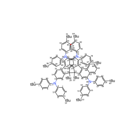 CC(C)(C)c1ccc(N(c2ccc(C(C)(C)C)cc2)c2ccc3c(c2)C(C(C)(C)C)(C2(C(C)(C)C)c4cc(N(c5ccc(C(C)(C)C)cc5)c5ccc(C(C)(C)C)cc5)ccc4-c4c2cc(N(c2ccc(C(C)(C)C)cc2)c2ccc(C(C)(C)C)cc2)c2ccccc42)c2cc(N(c4ccc(C(C)(C)C)cc4)c4ccc(C(C)(C)C)cc4)ccc2-3)cc1